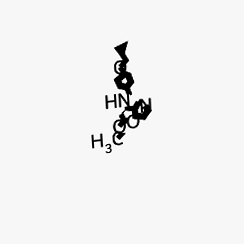 CCOC(=O)C[C@H](NCc1ccc(OCC2CC2)cc1)c1cccnc1